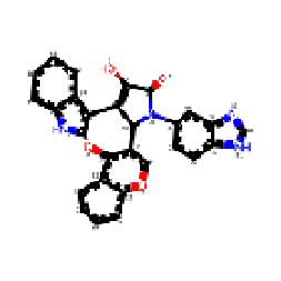 O=C1C(O)=C(c2c[nH]c3ccccc23)C(c2coc3ccccc3c2=O)N1c1ccc2[nH]cnc2c1